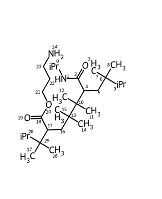 CC(C)NC(=O)C(CC(C)(C)C(C)C)C(C)(C)C(C)(C)CC(C(=O)OCCCN)C(C)(C)C(C)C